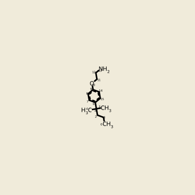 CCCC(C)(C)c1ccc(OCCN)cc1